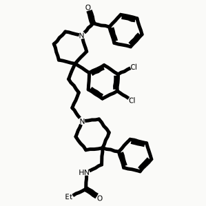 CCC(=O)NCC1(c2ccccc2)CCN(CCCC2(c3ccc(Cl)c(Cl)c3)CCCN(C(=O)c3ccccc3)C2)CC1